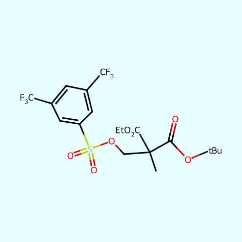 CCOC(=O)C(C)(COS(=O)(=O)c1cc(C(F)(F)F)cc(C(F)(F)F)c1)C(=O)OC(C)(C)C